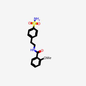 COc1ccccc1C(=O)NCCc1ccc(S(N)(=O)=O)cc1